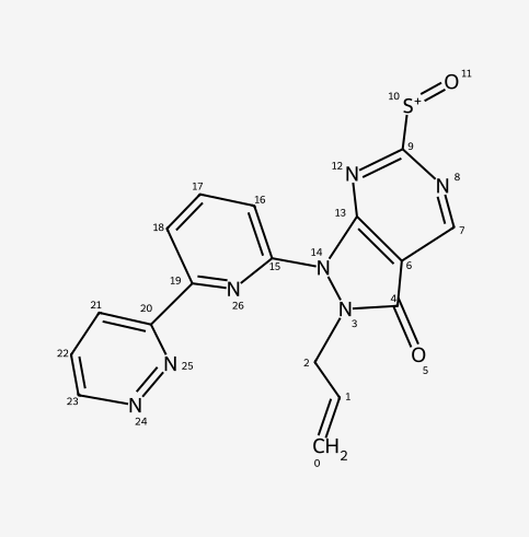 C=CCn1c(=O)c2cnc([S+]=O)nc2n1-c1cccc(-c2cccnn2)n1